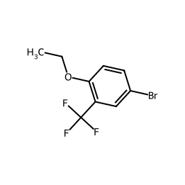 CCOc1ccc(Br)cc1C(F)(F)F